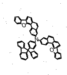 c1ccc(C2(c3ccc(N(c4ccc5c(ccc6ccc7c8ccccc8oc7c65)c4)c4ccc5c(ccc6ccc7c8ccccc8oc7c65)c4)cc3)c3ccccc3-c3ccccc32)cc1